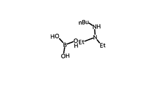 CCCCNN(CC)CC.OB(O)O